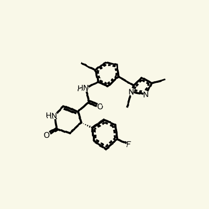 Cc1cc(-c2ccc(C)c(NC(=O)C3=CNC(=O)C[C@H]3c3ccc(F)cc3)c2)n(C)n1